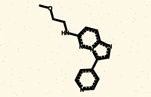 COCCNc1ccc2ncc(-c3ccncc3)n2n1